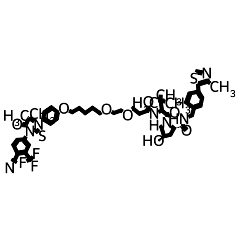 Cc1ncsc1-c1ccc(CNC(=O)[C@@H]2C[C@@H](O)CN2C(=O)C(NC(=O)CCOCCOCCCCCOc2ccc(N3C(=S)N(c4ccc(C#N)c(C(F)(F)F)c4)C(=O)C3(C)C)cc2)C(C)(C)C)cc1